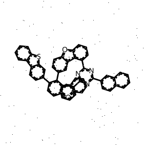 c1ccc(-c2nc(-c3ccc4ccccc4c3)nc(-c3cccc4oc5ccc(-c6c(-c7ccc8c(c7)sc7ccccc78)ccc7oc8ccccc8c67)cc5c34)n2)cc1